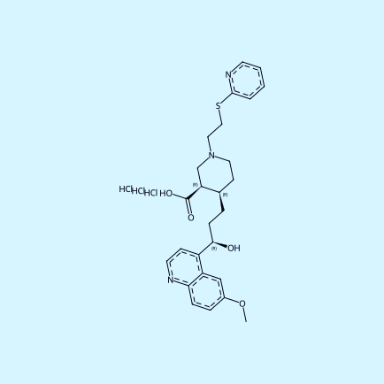 COc1ccc2nccc([C@H](O)CC[C@@H]3CCN(CCSc4ccccn4)C[C@@H]3C(=O)O)c2c1.Cl.Cl.Cl